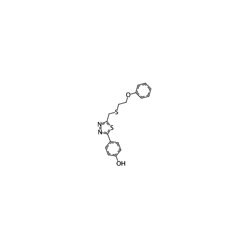 Oc1ccc(-c2nnc(CSCCOc3ccccc3)s2)cc1